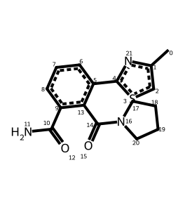 Cc1csc(-c2cccc(C(N)=O)c2C(=O)N2CCCC2)n1